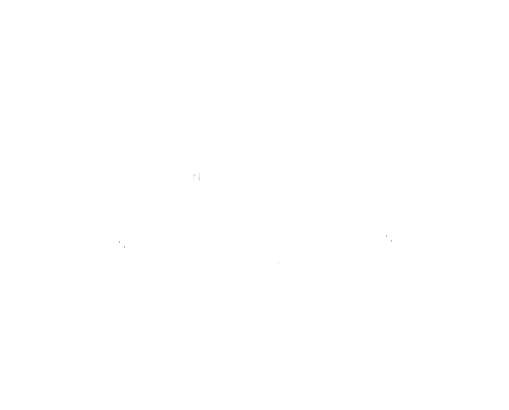 Cc1cc2c3c(c(C4CC4)nc2cc1OCCCN1CCCC1)CCC(C)N3